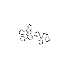 c1ccc(N(c2cccc(-c3ccc4c(c3)C3(c5ccccc5-4)c4ccccc4-c4c3oc3ccccc43)c2)c2cccc3ccccc23)cc1